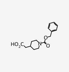 O=C(O)CC1CCN(C(=O)OCc2ccccc2)CC1